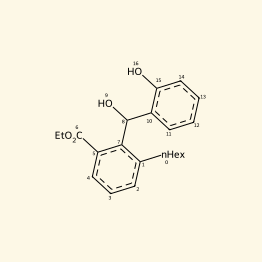 CCCCCCc1cccc(C(=O)OCC)c1C(O)c1ccccc1O